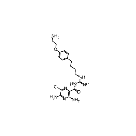 N=C(NCCCCc1ccc(OCCN)cc1)NC(=O)c1nc(Cl)c(N)nc1N